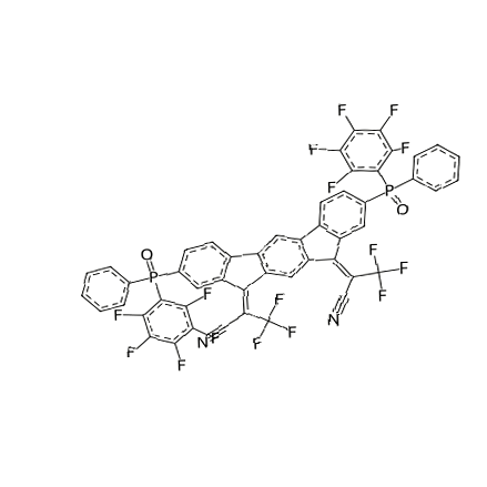 N#C/C(=C1/c2cc(P(=O)(c3ccccc3)c3c(F)c(F)c(F)c(F)c3F)ccc2-c2cc3c(cc21)/C(=C(/C#N)C(F)(F)F)c1cc(P(=O)(c2ccccc2)c2c(F)c(F)c(F)c(F)c2F)ccc1-3)C(F)(F)F